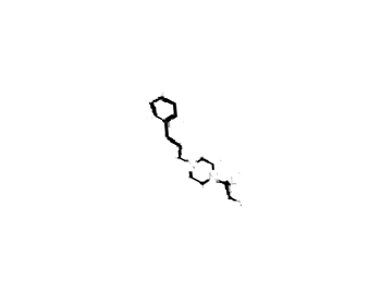 O=C(CCl)N1CCN(C/C=C/c2ccccc2)CC1